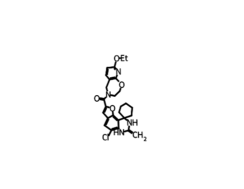 C=C1Nc2c(Cl)cc3cc(C(=O)N4CCOc5nc(OCC)ccc5C4)oc3c2C2(CCCCC2)N1